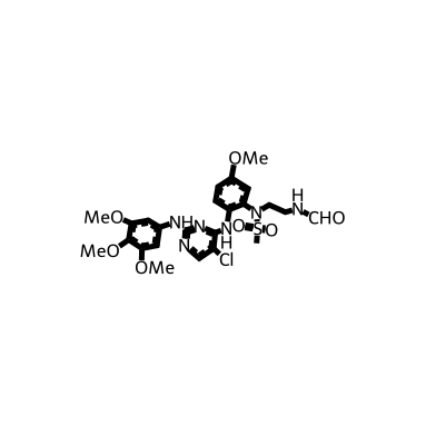 COc1ccc(Nc2nc(Nc3cc(OC)c(OC)c(OC)c3)ncc2Cl)c(N(CCNC=O)S(C)(=O)=O)c1